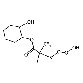 CC(SOOO)(C(=O)OC1CCCCC1O)C(F)(F)F